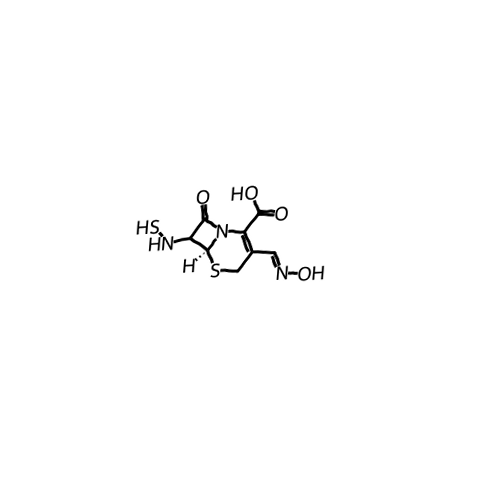 O=C(O)C1=C(C=NO)CS[C@H]2C(NS)C(=O)N12